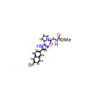 COC(=O)NCC(=O)N1CCC[C@H]1c1ncc(-c2ccc3cc(Br)ccc3c2)[nH]1